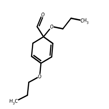 CCCOC1=CCC(C=O)(OCCC)C=C1